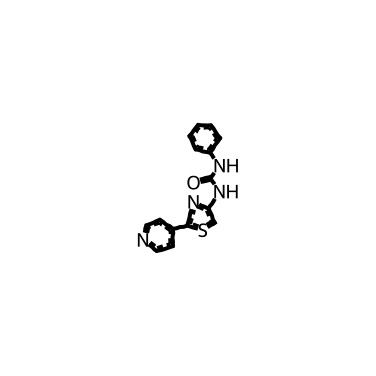 O=C(Nc1ccccc1)Nc1csc(-c2ccncc2)n1